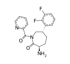 N[C@@H]1CC[C@@H](c2cccc(F)c2F)CN(C(=O)c2ccccn2)C1=O